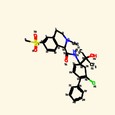 CC(=O)N1CCc2cc(S(C)(=O)=O)ccc2C1C(=O)NC1(C(O)(C(F)(F)F)C(F)(F)F)C=CC(c2ccccc2)=C(Cl)C1